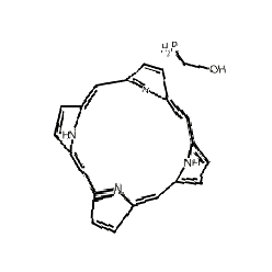 C1=Cc2cc3ccc(cc4nc(cc5ccc(cc1n2)[nH]5)C=C4)[nH]3.OCP